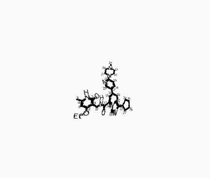 CCOc1cc(C)[nH]c(=O)c1CNC(=O)c1cc(-c2ccc(N3CCN(C)CC3)nc2)cc2c(C3CCCC3)ncn12